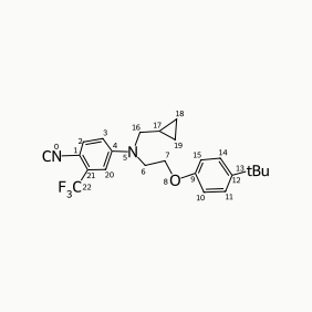 [C-]#[N+]c1ccc(N(CCOc2ccc(C(C)(C)C)cc2)CC2CC2)cc1C(F)(F)F